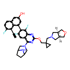 C#Cc1c(F)ccc2cc(O)cc(-c3c(F)cc4c(N5CC6CCC(C5)N6)nc(OCC5(CN6C[C@H]7COC[C@H]7C6)CC5)nc4c3F)c12